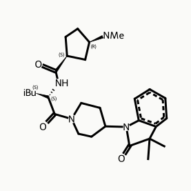 CC[C@H](C)[C@H](NC(=O)[C@H]1CC[C@@H](NC)C1)C(=O)N1CCC(N2C(=O)C(C)(C)c3ccccc32)CC1